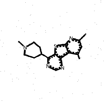 Cc1cc(C)c2c(n1)sc1c(C3CCN(C)CC3)ncnc12